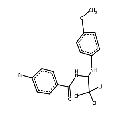 COc1ccc(NC(NC(=O)c2ccc(Br)cc2)C(Cl)(Cl)Cl)cc1